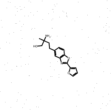 CC(N)(CO)CCc1ccc2oc(-c3ccco3)nc2c1